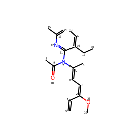 C=C/C(=C\C=C(/C)N(C(C)=O)C(=N/C(=C)C)/C(=C\C)CC)OC